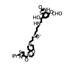 CC(C)c1nc(C(=O)N2CCOC3(CCN(CCC[S+]([O-])CCCCNC[C@H](O)c4ccc(OC=O)c5[nH]c(=O)sc45)CC3)C2)cs1